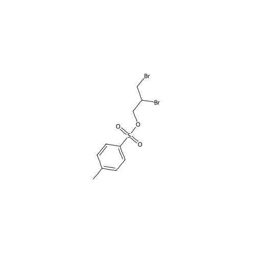 Cc1ccc(S(=O)(=O)OCC(Br)CBr)cc1